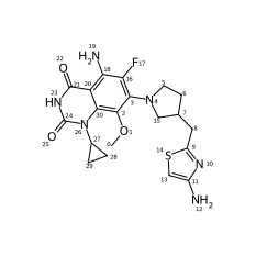 COc1c(N2CCC(Cc3nc(N)cs3)C2)c(F)c(N)c2c(=O)[nH]c(=O)n(C3CC3)c12